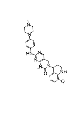 COc1cccc2c1NCC[C@@H]2N1Cc2cnc(Nc3ccc(N4CCN(C)CC4)cc3)nc2N(C)C1=O